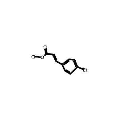 CCc1ccc(C=CC(=O)OCl)cc1